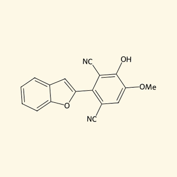 COc1cc(C#N)c(-c2cc3ccccc3o2)c(C#N)c1O